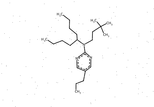 CCCCC(CCCC)N(CCC(C)(C)C)c1ncc(CCC)cn1